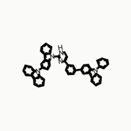 C1=C(c2cccc(-c3ccc4c(c3)c3ccccc3n4-c3ccccc3)c2)N=C(n2c3ccccc3c3cc(-n4c5ccccc5c5ccccc54)ccc32)NC1